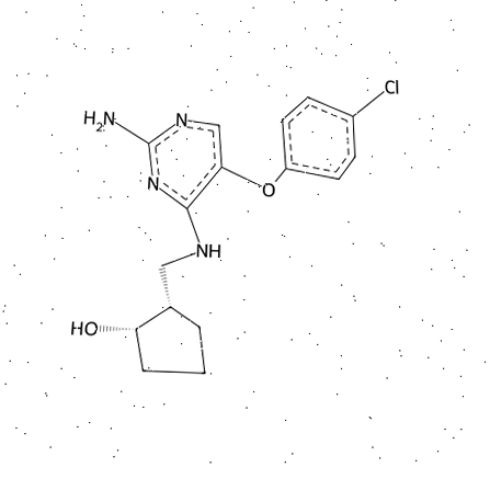 Nc1ncc(Oc2ccc(Cl)cc2)c(NC[C@@H]2CCC[C@@H]2O)n1